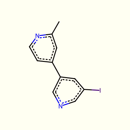 Cc1cc(-c2cncc(I)c2)ccn1